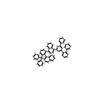 c1ccc(-c2cc(-c3ccccc3-c3ccccc3)nc(-c3ccc(-c4cccc5c4-c4c(ccc6ccccc46)C5(c4ccccc4)c4ccccc4)c4ccccc34)n2)cc1